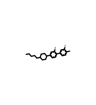 CCCCCC1CCC(c2ccc(-c3ccc(I)c(F)c3)c(F)c2)CC1